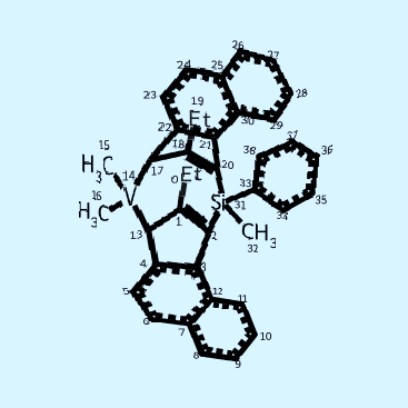 CCC1=C2c3c(ccc4ccccc34)[CH]1[V]([CH3])([CH3])[CH]1C(CC)=C(c3c1ccc1ccccc31)[Si]2(C)c1ccccc1